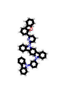 c1cc(-n2c3ccccc3c3ccccc32)cc(-n2c3ccccc3c3cc4c(cc32)c2ccccc2n4-c2cccc(-c3cccc4c3oc3ccccc34)n2)c1